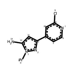 CC(C)n1nc(-c2ccnc(Cl)c2)cc1N